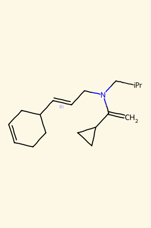 C=C(C1CC1)N(C/C=C/C1CC=CCC1)CC(C)C